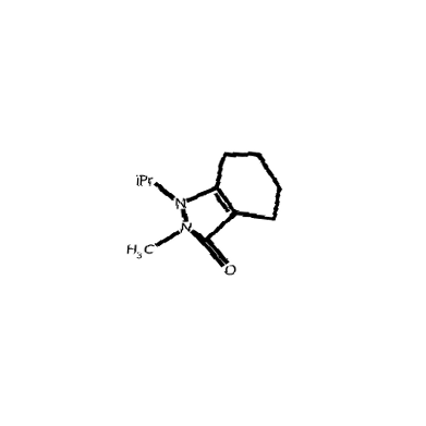 CC(C)n1c2c(c(=O)n1C)CCCC2